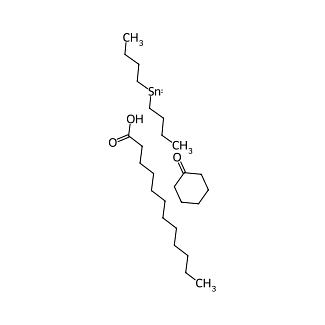 CCCCCCCCCCCC(=O)O.CCC[CH2][Sn][CH2]CCC.O=C1CCCCC1